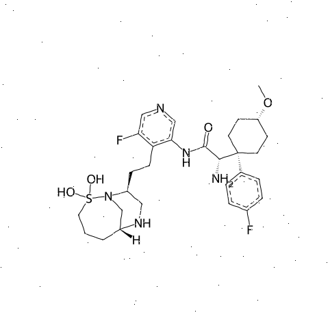 CO[C@H]1CC[C@](c2ccc(F)cc2)([C@H](N)C(=O)Nc2cncc(F)c2CC[C@H]2CN[C@@H]3CCCS(O)(O)N2C3)CC1